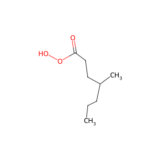 CCCC(C)CCC(=O)OO